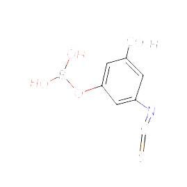 O=C(O)c1cc(N=C=S)cc(OB(O)O)c1